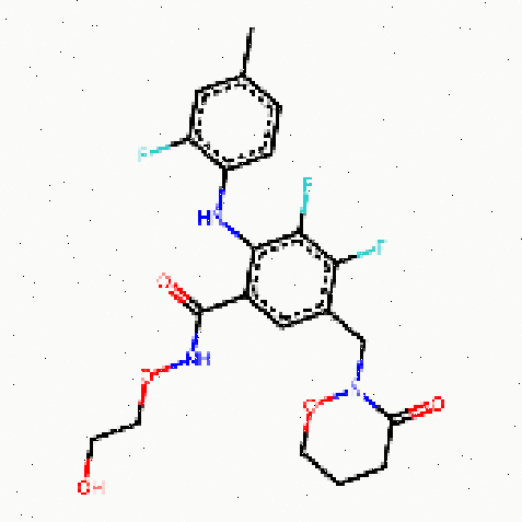 Cc1ccc(Nc2c(C(=O)NOCCO)cc(CN3OCCCC3=O)c(F)c2F)c(F)c1